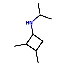 CC(C)NC1CC(C)C1C